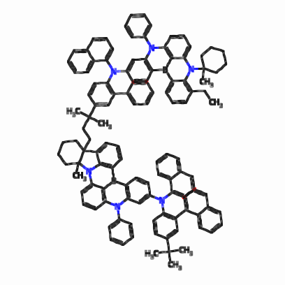 CCc1cccc2c1N(C1(C)CCCCC1)c1cccc3c1B2c1ccc(N(c2ccc(C(C)(C)CCC45CCCCC4(C)N4c6cccc7c6B(c6ccc(N(c8ccc(C(C)(C)C)cc8-c8cccc9ccccc89)c8cccc9ccccc89)cc6N7c6ccccc6)c6cccc5c64)cc2-c2ccccc2)c2cccc4ccccc24)cc1N3c1ccccc1